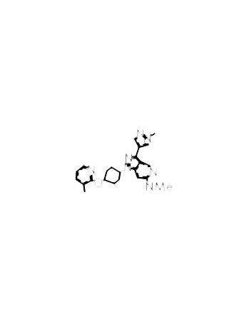 CNc1cc2c(cn1)c(-c1cnn(C)c1)nn2[C@H]1CC[C@@H](Oc2ncccc2C)CC1